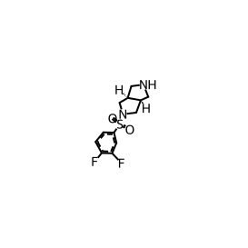 O=S(=O)(c1ccc(F)c(F)c1)N1C[C@H]2CNC[C@H]2C1